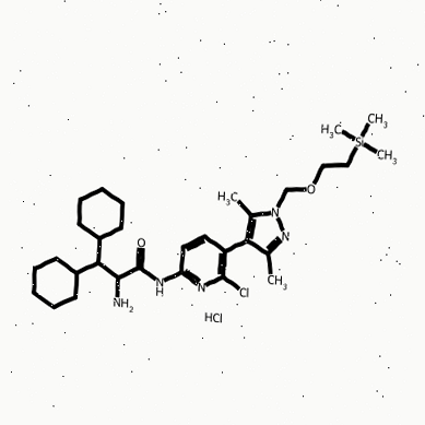 Cc1nn(COCC[Si](C)(C)C)c(C)c1-c1ccc(NC(=O)C(N)C(C2CCCCC2)C2CCCCC2)nc1Cl.Cl